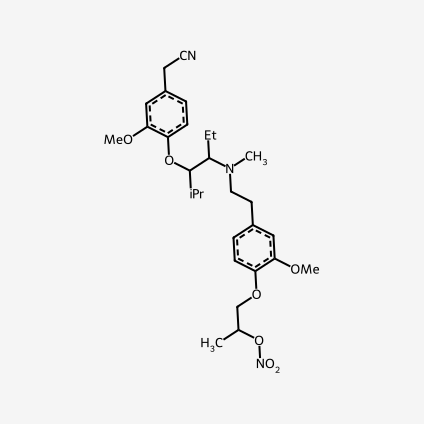 CCC(C(Oc1ccc(CC#N)cc1OC)C(C)C)N(C)CCc1ccc(OCC(C)O[N+](=O)[O-])c(OC)c1